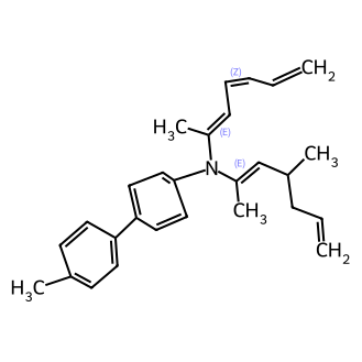 C=C/C=C\C=C(/C)N(/C(C)=C/C(C)CC=C)c1ccc(-c2ccc(C)cc2)cc1